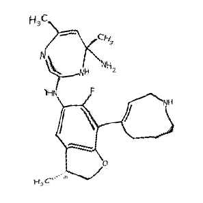 CC1=CC(C)(N)NC(Nc2cc3c(c(C4=CCNCCC4)c2F)OC[C@@H]3C)=N1